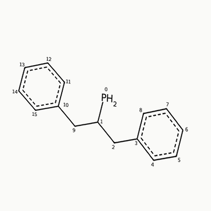 PC(Cc1ccccc1)Cc1ccccc1